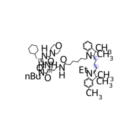 CCCCNC(=O)[C@H](CCNC(=O)CCCCCN1/C(=C\C=C\C2=[N+](CC)c3ccc(C)cc3C2(C)C)C(C)(C)c2ccccc21)NC(=O)[C@H](CC1CCCCC1)NC(=O)N1CCOCC1